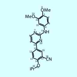 COc1ccc(Nc2nccc(-c3ccc(OC(C)C)c(C#N)c3)n2)cc1OC